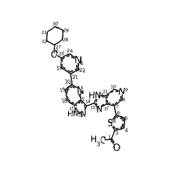 CC(=O)c1ccc(-c2cncc3[nH]c(-c4n[nH]c5ccc(-c6cncc(OC7CCCCC7)c6)nc45)nc23)s1